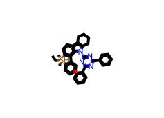 CC[SH]1(C)(C)c2ccccc2-c2c1ccc1c3c(n(-c4nc(-c5ccccc5)nc(-c5ccccc5)n4)c21)CCCC3